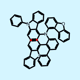 c1ccc(-c2cccc(N(c3cccc4oc5ccccc5c34)c3cccc4c3c3ccccc3n4-c3ccccc3)c2-c2cccc3c2sc2ccccc23)cc1